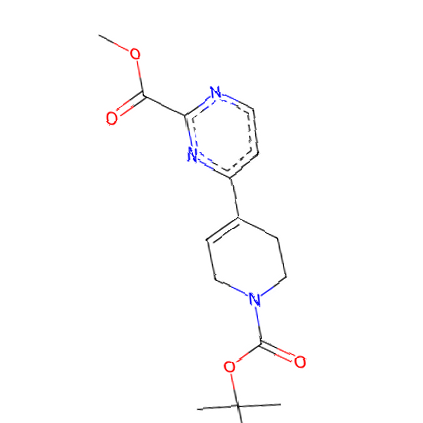 COC(=O)c1nccc(C2=CCN(C(=O)OC(C)(C)C)CC2)n1